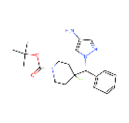 CC(C)(C)OC(=O)N1CCC(F)(C(c2ccccc2)n2cc(N)cn2)CC1